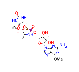 COc1nc(N)nc2c1ncn2[C@@H]1O[C@H](CO[P@@](=O)(N[C@@H](C)C(=O)OC(C)C)SC[C@H]2NC(=O)NC2=O)[C@@H](O)[C@@]1(C)O